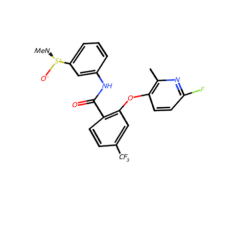 CN[S@+]([O-])c1cccc(NC(=O)c2ccc(C(F)(F)F)cc2Oc2ccc(F)nc2C)c1